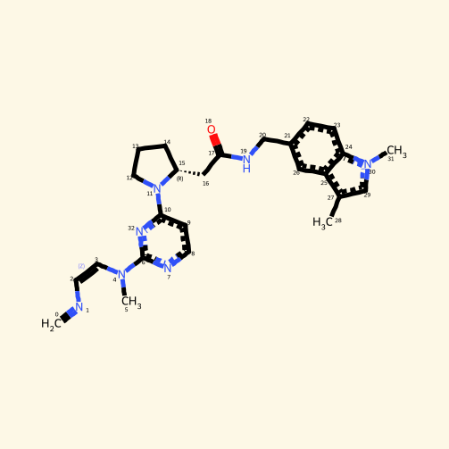 C=N/C=C\N(C)c1nccc(N2CCC[C@@H]2CC(=O)NCc2ccc3c(c2)c(C)cn3C)n1